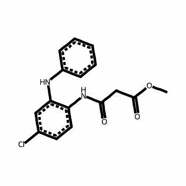 COC(=O)CC(=O)Nc1ccc(Cl)cc1Nc1ccccc1